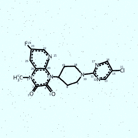 Cn1c(=O)c(=O)n(C2CCN(c3ncc(Cl)cn3)CC2)c2ncc(F)cc21